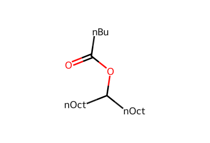 [CH2]CCCC(=O)OC(CCCCCCCC)CCCCCCCC